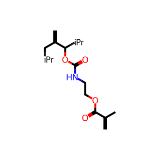 C=C(C)C(=O)OCCNC(=O)OC(C(=C)CC(C)C)C(C)C